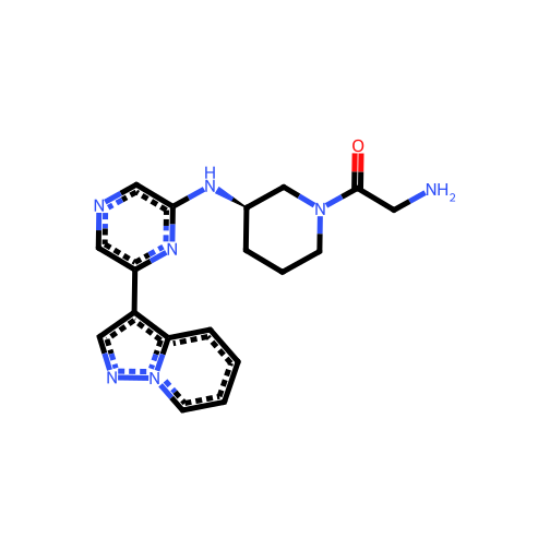 NCC(=O)N1CCC[C@@H](Nc2cncc(-c3cnn4ccccc34)n2)C1